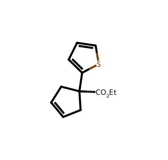 CCOC(=O)C1(c2cccs2)CC=CC1